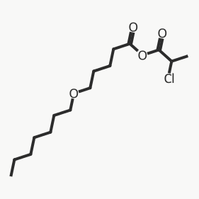 CCCCCCCOCCCCC(=O)OC(=O)C(C)Cl